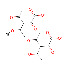 CC(=O)C(C(C)=O)C(=O)C(=O)[O-].CC(=O)C(C(C)=O)C(=O)C(=O)[O-].[Ni+2]